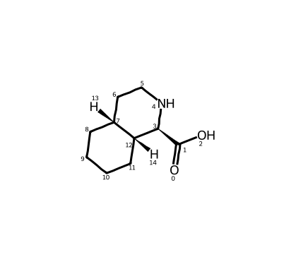 O=C(O)[C@@H]1NCC[C@H]2CCCC[C@H]21